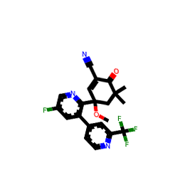 COC1(c2ncc(F)cc2-c2ccnc(C(F)(F)F)c2)C=C(C#N)C(=O)C(C)(C)C1